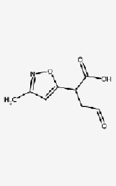 Cc1cc(C(CC=O)C(=O)O)on1